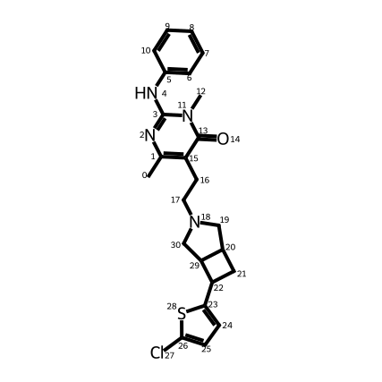 Cc1nc(Nc2ccccc2)n(C)c(=O)c1CCN1CC2CC(c3ccc(Cl)s3)C2C1